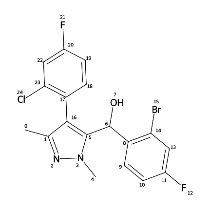 Cc1nn(C)c(C(O)c2ccc(F)cc2Br)c1-c1ccc(F)cc1Cl